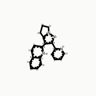 c1ccc(-c2nn3c(c2-c2ccc4ccccc4n2)CCC3)nc1